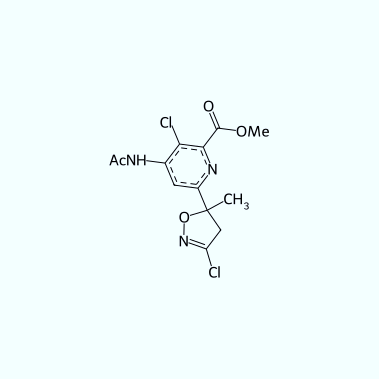 COC(=O)c1nc(C2(C)CC(Cl)=NO2)cc(NC(C)=O)c1Cl